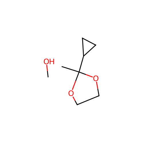 CC1(C2CC2)OCCO1.CO